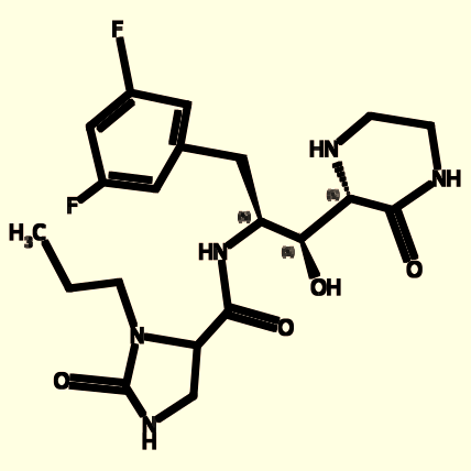 CCCN1C(=O)NCC1C(=O)N[C@@H](Cc1cc(F)cc(F)c1)[C@H](O)[C@@H]1NCCNC1=O